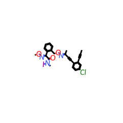 CC#Cc1cc(Cl)ccc1C#C/C(C)=N/OCc1ccccc1/C(=N\OC)C(=O)N(C)I